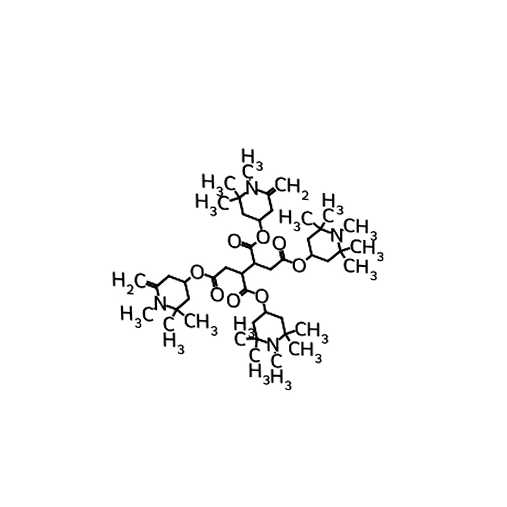 C=C1CC(OC(=O)CC(C(=O)OC2CC(C)(C)N(C)C(C)(C)C2)C(CC(=O)OC2CC(C)(C)N(C)C(C)(C)C2)C(=O)OC2CC(=C)N(C)C(C)(C)C2)CC(C)(C)N1C